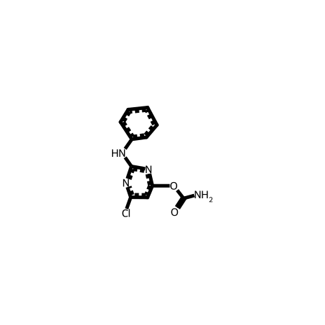 NC(=O)Oc1cc(Cl)nc(Nc2ccccc2)n1